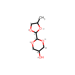 CC1COC(C2OCC(O)CO2)O1